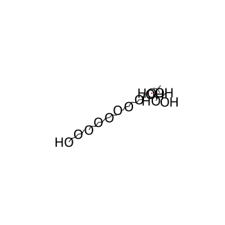 CC(O)CO.CC(O)CO.OCCOCCOCCOCCOCCOCCOCCOCCO